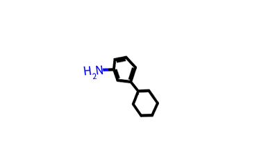 Nc1cccc([C]2CCCCC2)c1